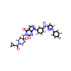 O=C(C1CC1)N1CCC(O)(Cn2cnc3c(cnn3-c3cccc(Nc4ccn(-c5ccc(F)cc5)n4)c3)c2=O)CC1